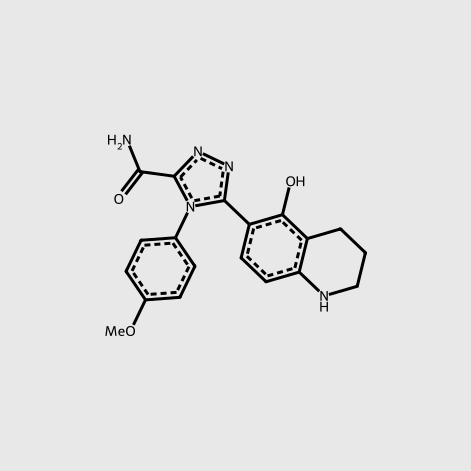 COc1ccc(-n2c(C(N)=O)nnc2-c2ccc3c(c2O)CCCN3)cc1